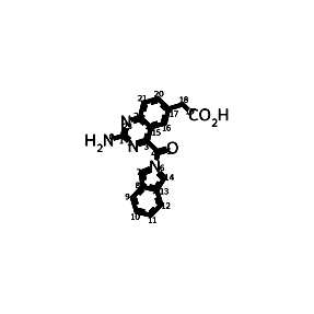 Nc1nc(C(=O)n2cc3ccccc3c2)c2cc(CC(=O)O)ccc2n1